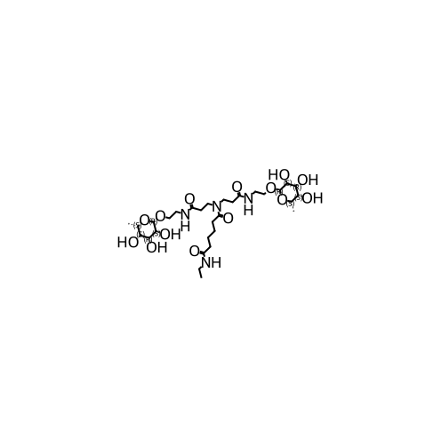 CCNC(=O)CCCCC(=O)N(CCC(=O)NCCO[C@@H]1O[C@@H](C)[C@@H](O)[C@@H](O)[C@@H]1O)CCC(=O)NCCO[C@@H]1O[C@@H](C)[C@@H](O)[C@@H](O)[C@@H]1O